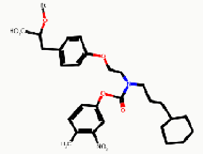 CCOC(Cc1ccc(OCCN(CCCC2CCCCC2)C(=O)Oc2ccc(C)c([N+](=O)[O-])c2)cc1)C(=O)O